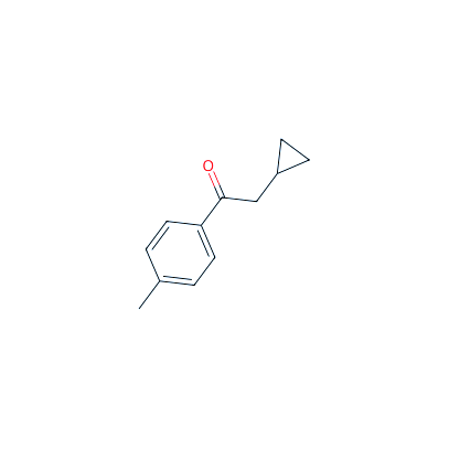 Cc1ccc(C(=O)CC2CC2)cc1